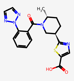 C[C@@H]1CC[C@@H](c2ncc(C(=O)O)s2)CN1C(=O)c1ccccc1-n1nccn1